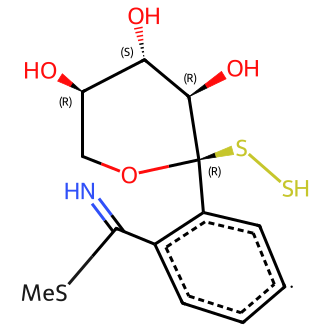 CSC(=N)c1cc[c]cc1[C@]1(SS)OC[C@@H](O)[C@H](O)[C@H]1O